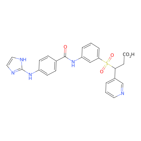 O=C(O)CC(c1cccnc1)S(=O)(=O)c1cccc(NC(=O)c2ccc(Nc3ncc[nH]3)cc2)c1